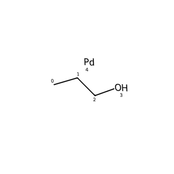 CCCO.[Pd]